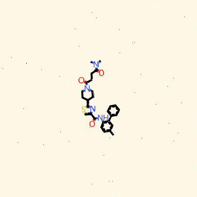 Cc1ccc(NC(=O)c2csc(C3CCN(C(=O)CCC(=O)N(C)C)CC3)n2)c(-c2ccccc2)c1